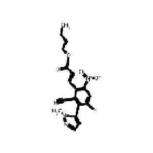 CCCCOC(=O)/C=C/c1c([N+](=O)[O-])cc(F)c(-c2ccnn2C)c1C#N